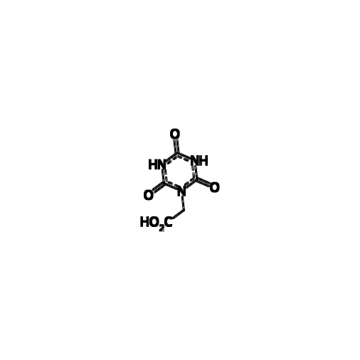 O=C(O)Cn1c(=O)[nH]c(=O)[nH]c1=O